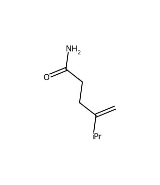 C=C(CCC(N)=O)C(C)C